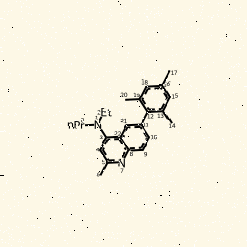 CCCN(CC)c1cc(C)nc2ccc(-c3c(C)cc(C)cc3C)cc12